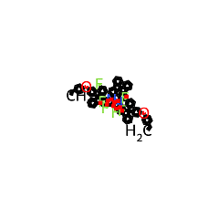 C=Cc1ccc(Oc2ccc(C3(c4cccc(F)c4)c4ccccc4-c4ccc(N(c5ccc(F)c(F)c5)c5ccc6c(c5)C5(c7ccccc7-6)c6ccccc6-c6ccc(N(c7ccc(F)c(F)c7)c7ccc8c(c7)C(c7ccc(Oc9ccc(C=C)cc9)cc7)(c7cccc(F)c7)c7ccccc7-8)cc65)cc43)cc2)cc1